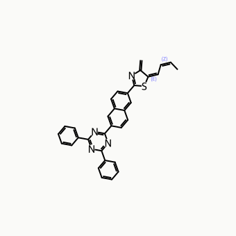 C=c1nc(-c2ccc3cc(-c4nc(-c5ccccc5)nc(-c5ccccc5)n4)ccc3c2)s/c1=C/C=C\C